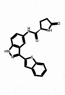 O=C1CC[C@H](C(=O)Nc2ccc3[nH]nc(-c4cc5ccccc5s4)c3c2)N1